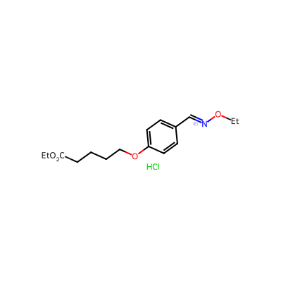 CCO/N=C/c1ccc(OCCCCC(=O)OCC)cc1.Cl